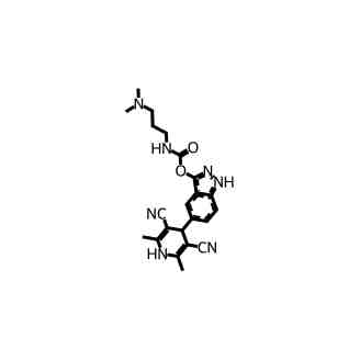 CC1=C(C#N)C(c2ccc3[nH]nc(OC(=O)NCCCN(C)C)c3c2)C(C#N)=C(C)N1